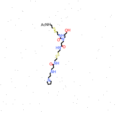 CC(=O)NCCSSCCNC(=O)N(CCCO)CCC(=O)NCCSSCCNC(=O)CCNCCCN1CCCC1